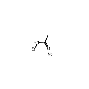 CCNC(C)=O.[Nb]